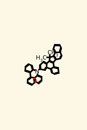 CC1(C)c2c(ccc3ccccc23)-c2c1c1ccc(N(c3ccccc3)c3ccccc3-c3ccccc3)cc1c1ccccc21